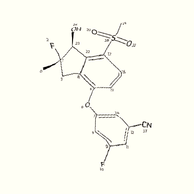 C[C@]1(F)Cc2c(Oc3cc(F)cc(C#N)c3)ccc(S(C)(=O)=O)c2[C@@H]1O